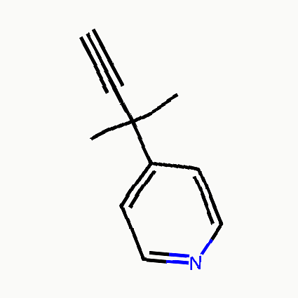 C#CC(C)(C)c1ccncc1